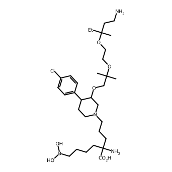 CCC(C)(CCN)OCCOC(C)(C)COC1CN(CCCC(N)(CCCCB(O)O)C(=O)O)CCC1c1ccc(Cl)cc1